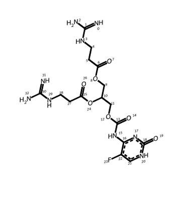 N=C(N)NCCC(=O)OCC(COC(=O)Nc1nc(=O)[nH]cc1F)OC(=O)CCNC(=N)N